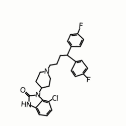 O=c1[nH]c2cccc(Cl)c2n1C1CCN(CCCC(c2ccc(F)cc2)c2ccc(F)cc2)CC1